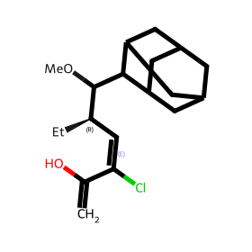 C=C(O)/C(Cl)=C\[C@@H](CC)C(OC)C1C2CC3CC(C2)CC1C3